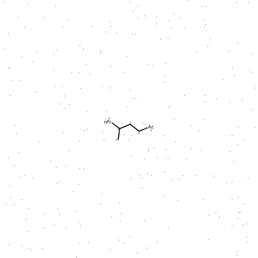 CCCC(C)CCC(C)=O